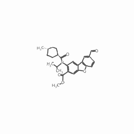 COC(=O)c1cc2oc3ccc(C=O)cc3c2cc1N(C(=O)[C@H]1CC[C@H](C)CC1)C(C)C